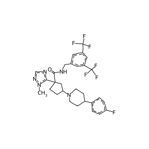 Cn1ncnc1C1(C(=O)NCc2cc(C(F)(F)F)cc(C(F)(F)F)c2)CCC(N2CCC(c3ccc(F)cc3)CC2)C1